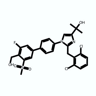 CC(C)(O)c1cn(-c2ccc(-c3cc(F)c(CO)c(S(C)(=O)=O)c3)cc2)c(Cc2c(Cl)cccc2Cl)n1